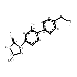 CC[C@H]1CN(c2ccc(-c3ccc(CCl)cc3)c(F)c2)C(=O)O1